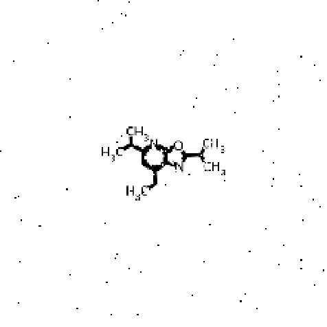 CCc1cc(C(C)C)nc2oc(C(C)C)nc12